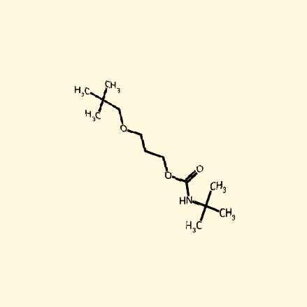 CC(C)(C)COCCCOC(=O)NC(C)(C)C